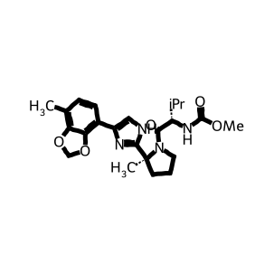 COC(=O)N[C@H](C(=O)N1CCC[C@@]1(C)c1nc(-c2ccc(C)c3c2OCO3)c[nH]1)C(C)C